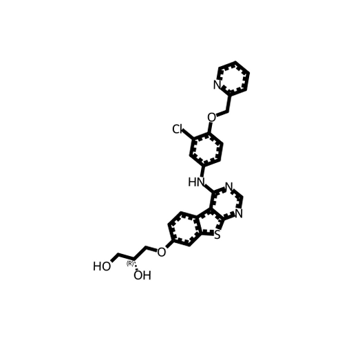 OC[C@@H](O)COc1ccc2c(c1)sc1ncnc(Nc3ccc(OCc4ccccn4)c(Cl)c3)c12